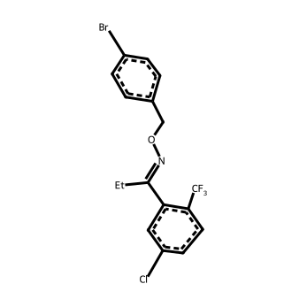 CC/C(=N\OCc1ccc(Br)cc1)c1cc(Cl)ccc1C(F)(F)F